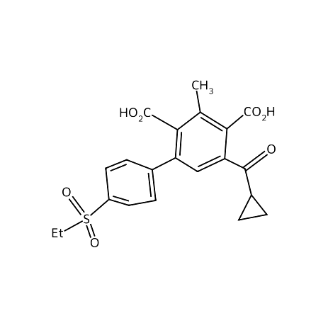 CCS(=O)(=O)c1ccc(-c2cc(C(=O)C3CC3)c(C(=O)O)c(C)c2C(=O)O)cc1